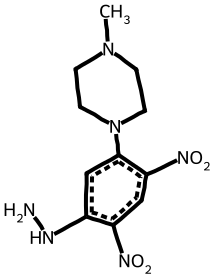 CN1CCN(c2cc(NN)c([N+](=O)[O-])cc2[N+](=O)[O-])CC1